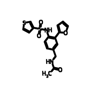 CC(=O)NCc1ccc(NS(=O)(=O)c2ccsc2)c(-c2ccco2)c1